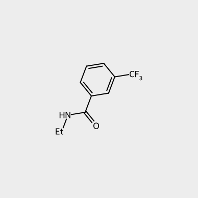 CCNC(=O)c1cccc(C(F)(F)F)c1